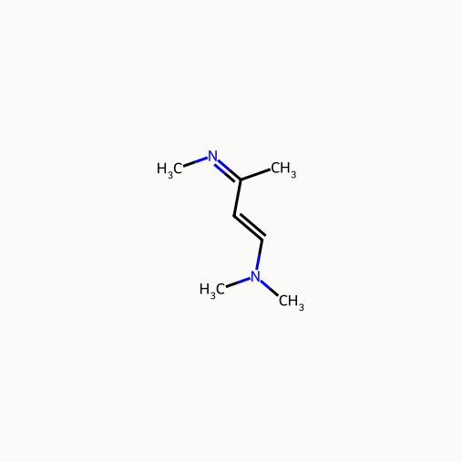 CN=C(C)C=CN(C)C